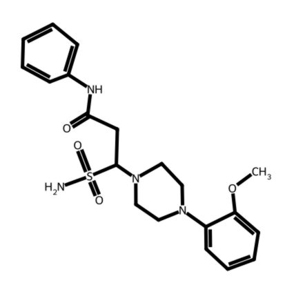 COc1ccccc1N1CCN(C(CC(=O)Nc2ccccc2)S(N)(=O)=O)CC1